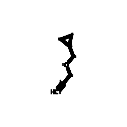 C#CCOCC1CC1